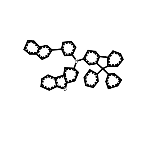 c1ccc(C2(c3ccccc3)c3ccccc3-c3ccc(N(c4cccc(-c5ccc6ccccc6c5)c4)c4ccc5oc6ccccc6c5c4)cc32)cc1